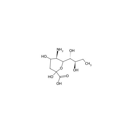 CC[C@@H](O)[C@@H](O)C1OC(O)(C(=O)O)CC(O)[C@H]1N